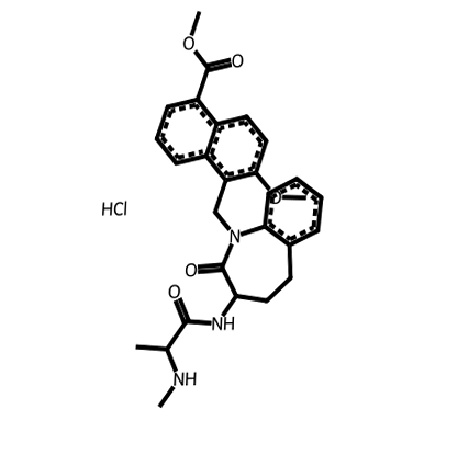 CNC(C)C(=O)NC1CCc2ccccc2N(Cc2c(OC)ccc3c(C(=O)OC)cccc23)C1=O.Cl